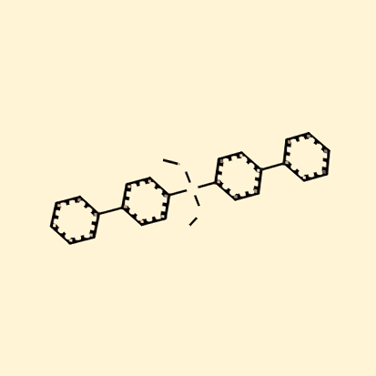 CCO[Si](OCC)(c1ccc(-c2ccccc2)cc1)c1ccc(-c2ccccc2)cc1